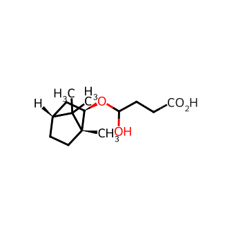 CC1(C)[C@@H]2CC[C@@]1(C)[C@H](OC(O)CCC(=O)O)C2